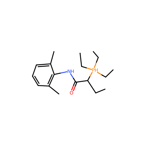 CCC(C(=O)Nc1c(C)cccc1C)[PH](CC)(CC)CC